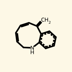 C=C1/C=C\C=C/CNc2ccccc21